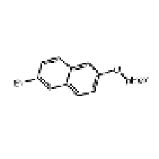 CCCCCCOc1ccc2cc(CC)ccc2c1